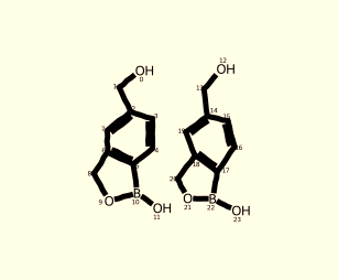 OCc1ccc2c(c1)COB2O.OCc1ccc2c(c1)COB2O